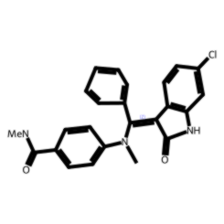 CNC(=O)c1ccc(N(C)/C(=C2\C(=O)Nc3cc(Cl)ccc32)c2ccccc2)cc1